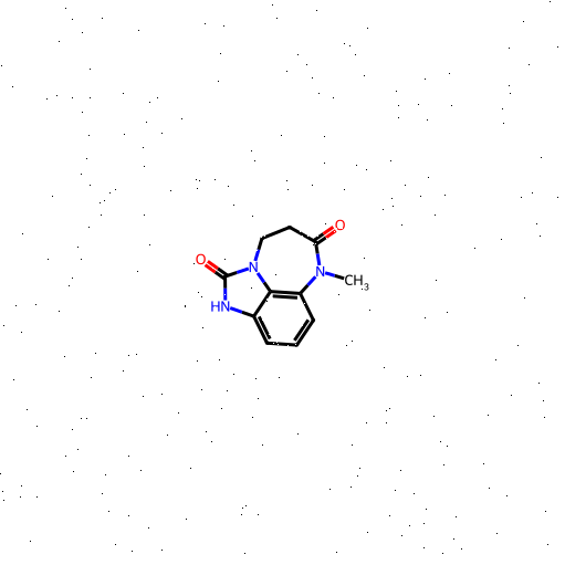 CN1C(=O)CCn2c(=O)[nH]c3cccc1c32